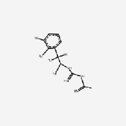 [2H]c1cccc(C([2H])([2H])C([2H])NC(=N)NC(C)=N)c1[2H]